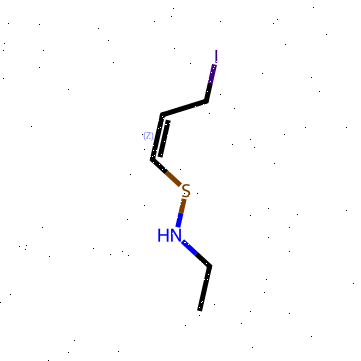 CCNS/C=C\CI